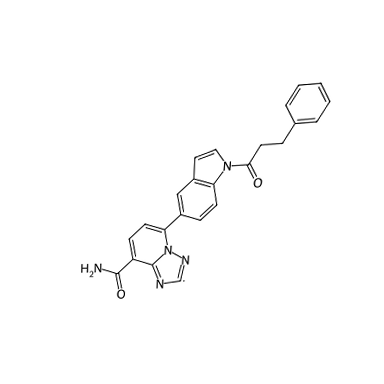 NC(=O)c1ccc(-c2ccc3c(ccn3C(=O)CCc3ccccc3)c2)n2n[c]nc12